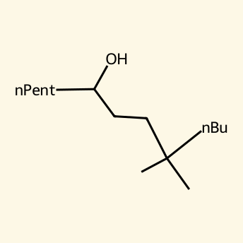 CCCCCC(O)CCC(C)(C)CCCC